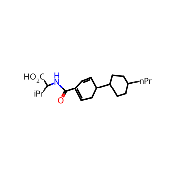 CCCC1CCC(C2C=CC(C(=O)NC(C(=O)O)C(C)C)=CC2)CC1